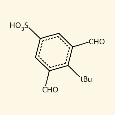 CC(C)(C)c1c(C=O)cc(S(=O)(=O)O)cc1C=O